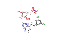 Brc1cc(Br)cc(CNc2ncnc3nc[nH]c23)c1.O=P(O)(O)OC[C@H]1OC(O)[C@H](O)[C@@H]1O